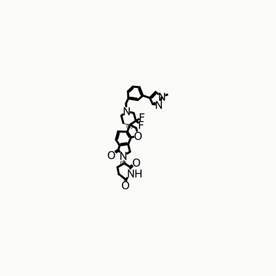 Cn1cc(-c2cccc(CN3CC[C@@]4(COc5c4ccc4c5CN([C@H]5CCC(=O)NC5=O)C4=O)C(F)(F)C3)c2)cn1